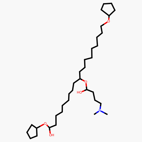 CN(C)CCCC(O)OC(CCCCCCCCCOC1CCCC1)CCCCCCCCC(O)OC1CCCC1